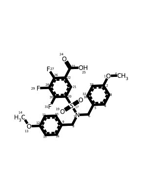 COc1ccc(CN(Cc2ccc(OC)cc2)S(=O)(=O)c2cc(C(=O)O)c(F)c(F)c2F)cc1